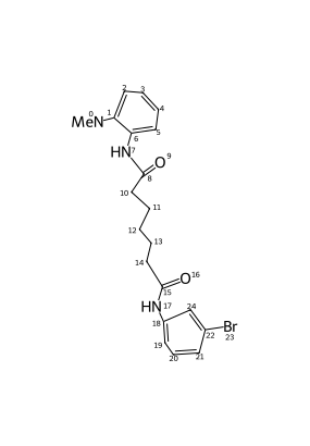 CNc1ccccc1NC(=O)CCCCCC(=O)Nc1cccc(Br)c1